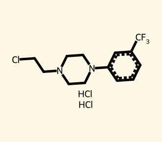 Cl.Cl.FC(F)(F)c1cccc(N2CCN(CCCl)CC2)c1